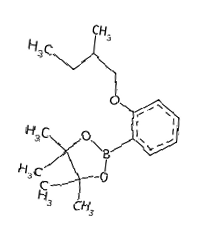 CCC(C)COc1ccccc1B1OC(C)(C)C(C)(C)O1